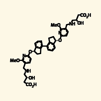 COc1nc(O[C@H]2CCc3c(-c4cccc5c4CC[C@@H]5Oc4ccc(CNC[C@H](O)CC(=O)O)c(OC)n4)cccc32)ccc1CNC[C@H](O)CC(=O)O